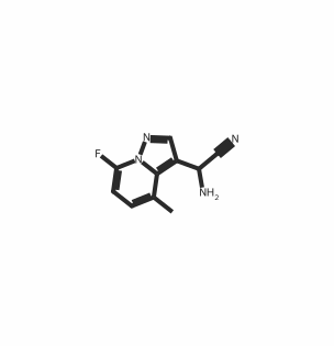 Cc1ccc(F)n2ncc(C(N)C#N)c12